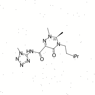 CC(C)CCN1C(=O)C(C(=O)Nc2nnnn2C)=NN(C)[C@H]1C